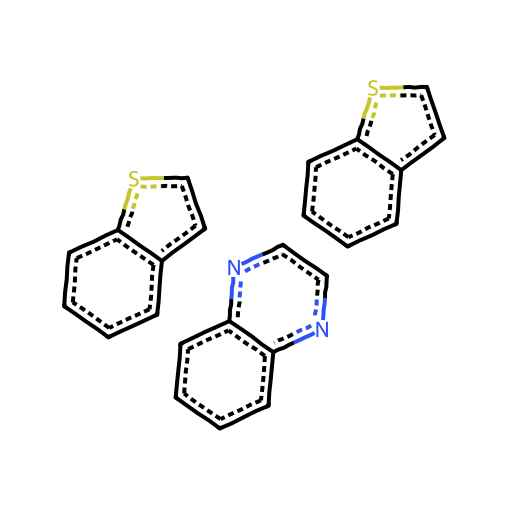 c1ccc2nccnc2c1.c1ccc2sccc2c1.c1ccc2sccc2c1